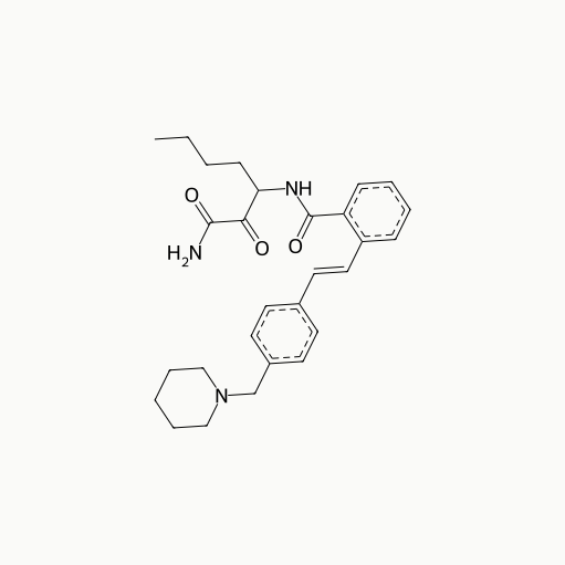 CCCCC(NC(=O)c1ccccc1/C=C/c1ccc(CN2CCCCC2)cc1)C(=O)C(N)=O